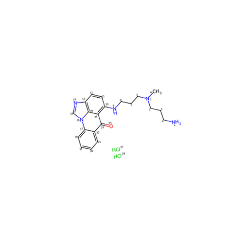 CN(CCCN)CCCNc1ccc2ncn3c4ccccc4c(=O)c1c23.Cl.Cl